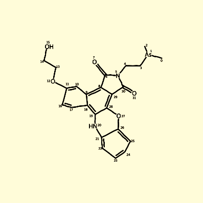 C[As](C)CCn1c(=O)c2c3cc(OCCO)ccc3c3[nH]c4ccccc4oc3c2c1=O